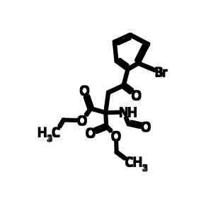 CCOC(=O)C(CC(=O)c1ccccc1Br)(NC=O)C(=O)OCC